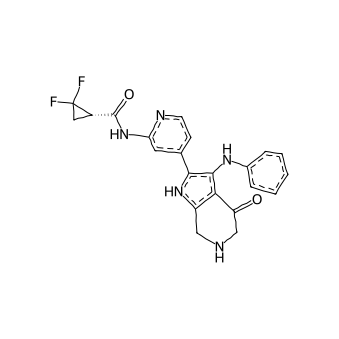 O=C1CNCc2[nH]c(-c3ccnc(NC(=O)[C@@H]4CC4(F)F)c3)c(Nc3ccccc3)c21